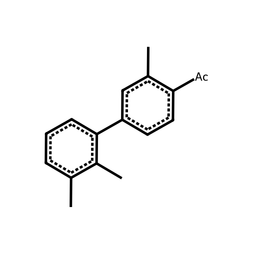 CC(=O)c1ccc(-c2cccc(C)c2C)cc1C